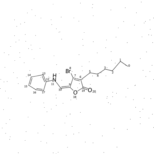 CCCCCCC1=C(Br)C(=CNc2ccccc2)OC1=O